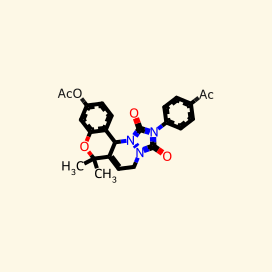 CC(=O)Oc1ccc2c(c1)OC(C)(C)C1=CCn3c(=O)n(-c4ccc(C(C)=O)cc4)c(=O)n3C12